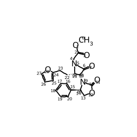 COC(=O)CN1C(=O)[C@H](N2C(=O)OC[C@H]2c2ccccc2)[C@@H]1CCc1ccco1